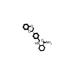 NC(=O)[C@H]1CCCC[C@H]1NCc1ccc([C@H]2COc3ccccc3O2)cc1